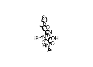 CC(=Cc1cnn2c(O)c(C(=O)NC3CC3)c(=O)n(CC(C)C)c12)C(=O)N1CCOCC1